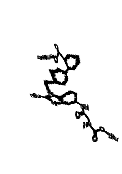 CCCCc1nc2cc(NC(=O)CNC(=O)OC(C)(C)C)ccc2n1Cc1ccc(-c2ccccc2C(=O)OC(C)(C)C)cc1